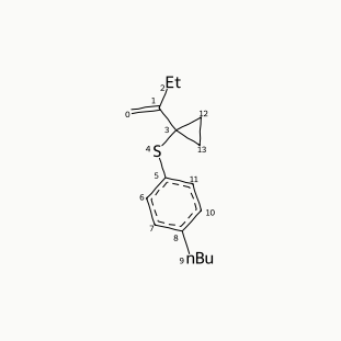 C=C(CC)C1(Sc2ccc(CCCC)cc2)CC1